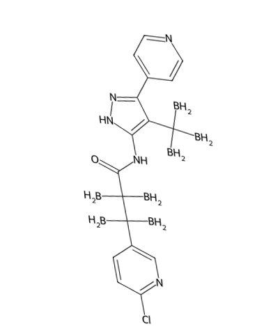 BC(B)(B)c1c(-c2ccncc2)n[nH]c1NC(=O)C(B)(B)C(B)(B)c1ccc(Cl)nc1